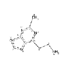 Cc1nc(CCN)c2ccoc2n1